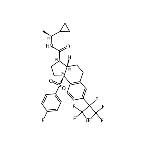 C[C@H](NC(=O)[C@@H]1CC[C@@]2(S(=O)(=O)c3ccc(F)cc3)c3ccc(C(F)(C(F)(F)F)C(F)(F)F)cc3CC[C@@H]12)C1CC1